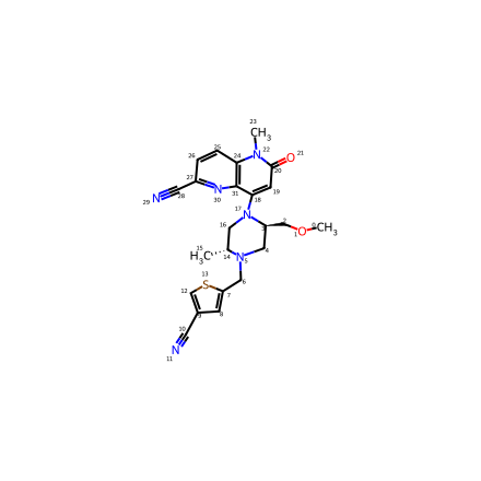 COC[C@H]1CN(Cc2cc(C#N)cs2)[C@H](C)CN1c1cc(=O)n(C)c2ccc(C#N)nc12